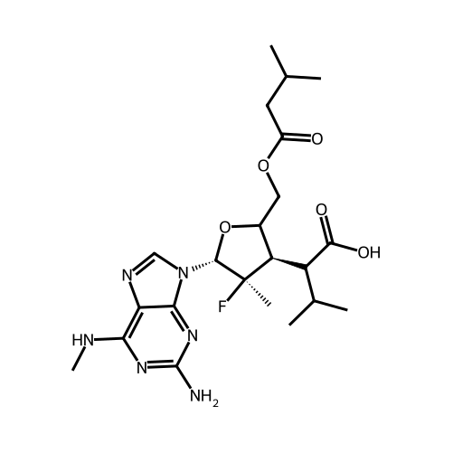 CNc1nc(N)nc2c1ncn2[C@@H]1OC(COC(=O)CC(C)C)[C@@H](C(C(=O)O)C(C)C)[C@@]1(C)F